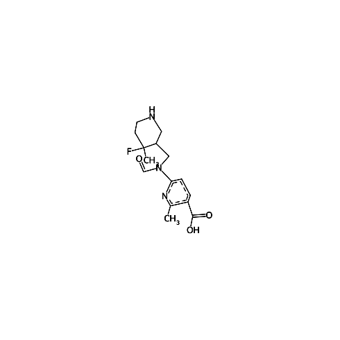 Cc1nc(N(C=O)CC2CNCCC2(C)F)ccc1C(=O)O